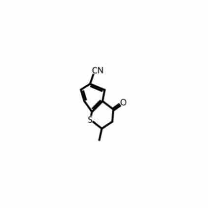 CC1CC(=O)c2cc(C#N)ccc2S1